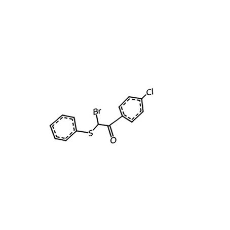 O=C(c1ccc(Cl)cc1)C(Br)Sc1ccccc1